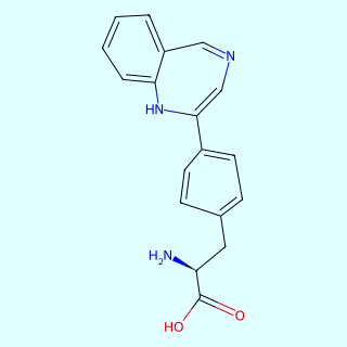 N[C@@H](Cc1ccc(C2=CN=Cc3ccccc3N2)cc1)C(=O)O